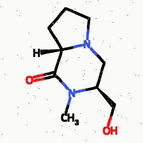 CN1C(=O)[C@@H]2CCCN2C[C@H]1CO